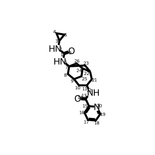 O=C(NC1CC1)NC12CC3CC(NC(=O)c4ccccn4)CC(C1)C(C3)C2